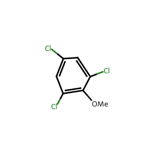 COc1c(Cl)cc(Cl)cc1Cl